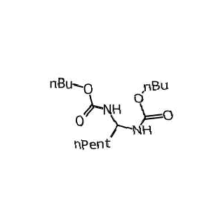 CCCCCC(NC(=O)OCCCC)NC(=O)OCCCC